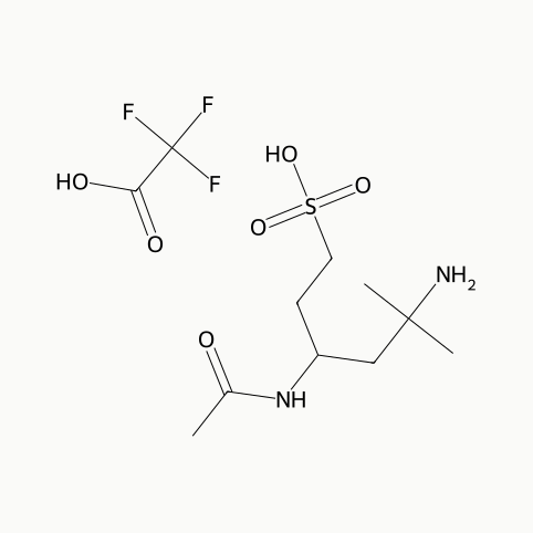 CC(=O)NC(CCS(=O)(=O)O)CC(C)(C)N.O=C(O)C(F)(F)F